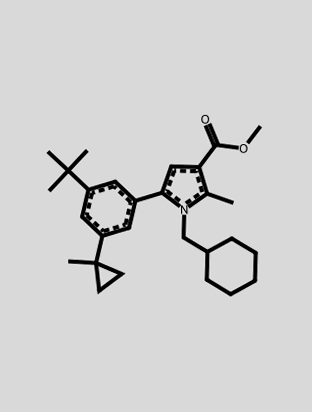 COC(=O)c1cc(-c2cc(C(C)(C)C)cc(C3(C)CC3)c2)n(CC2CCCCC2)c1C